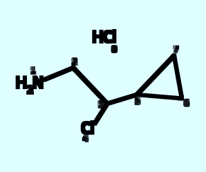 Cl.NCC(Cl)C1CC1